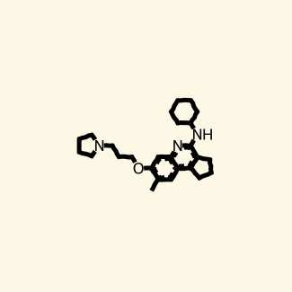 Cc1cc2c3c(c(NC4CCCCC4)nc2cc1OCCCN1CCCC1)CCC3